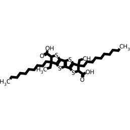 CCCCCCCCCCC1(CC)c2sc3c4c(sc3c2SC1C(=O)O)C(CC)(CCCCCCCCCC)C(C(=O)O)S4